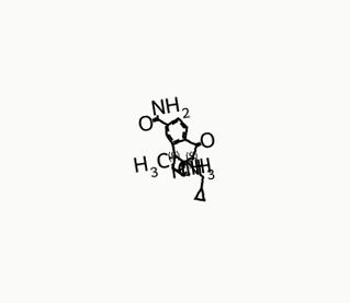 C[C@H]1[C@H]2C(=O)c3ccc(C(N)=O)cc3[C@@]1(C)CCN2CC1CC1